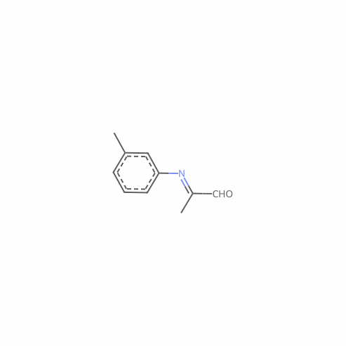 CC(C=O)=Nc1cccc(C)c1